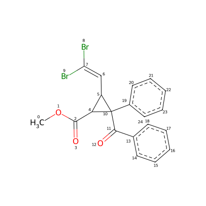 COC(=O)C1C(C=C(Br)Br)C1(C(=O)c1ccccc1)c1ccccc1